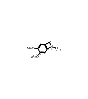 COc1cc2c(cc1OC)N(C)C2